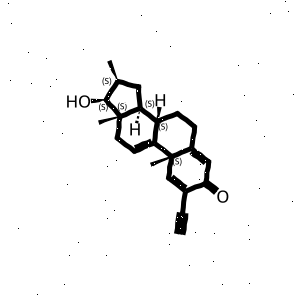 C#CC1=C[C@@]2(C)C(=CC1=O)CC[C@@H]1C2=CC[C@]2(C)[C@@H](O)[C@@H](C)C[C@@H]12